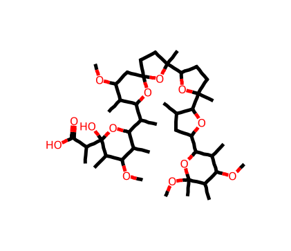 COC1CC2(CCC(C)(C3CCC(C)(C4OC(C5OC(C)(OC)C(C)C(OC)C5C)CC4C)O3)O2)OC(C(C)C2OC(O)(C(C)C(=O)O)C(C)C(OC)C2C)C1C